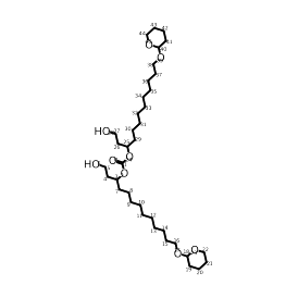 O=C(OC(CCO)CCCCCCCCCCOC1CCCCO1)OC(CCO)CCCCCCCCCCOC1CCCCO1